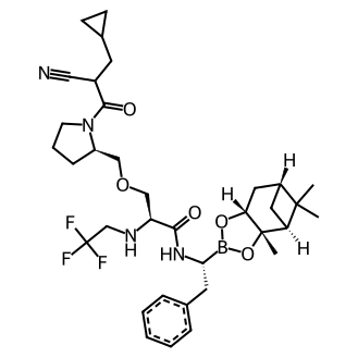 CC1(C)[C@H]2C[C@H]3OB([C@H](Cc4ccccc4)NC(=O)[C@H](COC[C@H]4CCCN4C(=O)C(C#N)CC4CC4)NCC(F)(F)F)O[C@@]3(C)[C@H]1C2